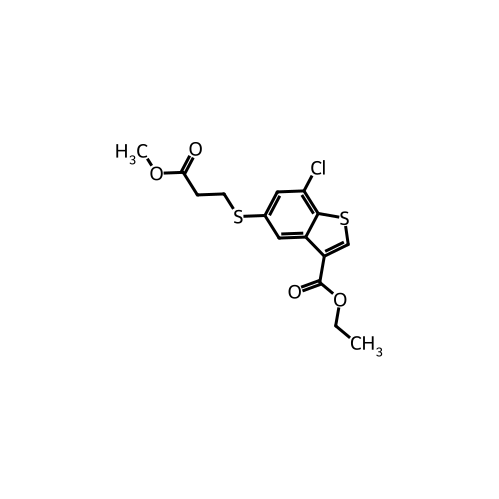 CCOC(=O)c1csc2c(Cl)cc(SCCC(=O)OC)cc12